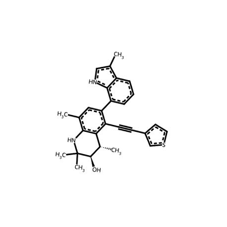 Cc1cc(-c2cccc3c(C)c[nH]c23)c(C#Cc2ccsc2)c2c1NC(C)(C)[C@H](O)[C@H]2C